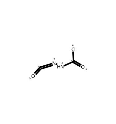 O=C=NNC(=O)Cl